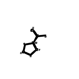 CC(Cl)[C@@H]1COCO1